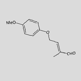 COc1ccc(OCC=C(C)C=O)cc1